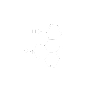 COc1ccccc1C(C[N+](=O)[O-])c1ccccc1O